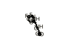 O=C(CCCCCN1C(=O)C=CC1=O)NCCSCc1cc2nc(c1)OCCCOc1cc(F)ccc1-c1cc(ncc1F)N2